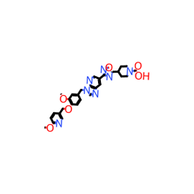 COc1ccc(COc2ccc(Cn3cnc4cc(-c5noc(C6CCN(C(=O)O)CC6)n5)cnc43)cc2OC)cn1